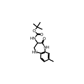 Cc1ccc2c(c1)NC(=O)C(NC(=O)OC(C)(C)C)CN2